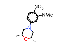 CNc1cc(N2C[C@@H](C)O[C@@H](C)C2)ccc1[N+](=O)[O-]